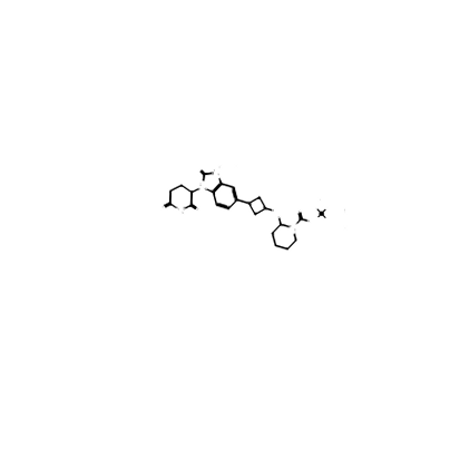 Cn1c(=O)n(C2CCC(=O)NC2=O)c2ccc(C3CC(OC4CCCCN4C(=O)OC(C)(C)C)C3)cc21